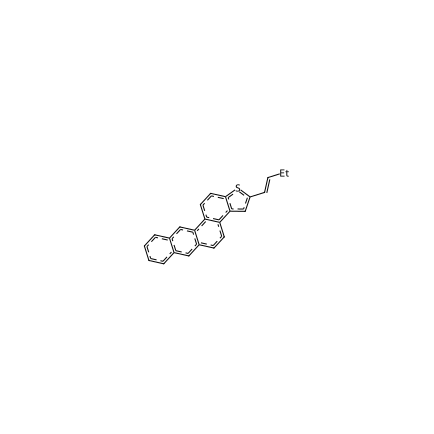 CC/C=C/c1cc2c(ccc3c4cc5ccccc5cc4ccc23)s1